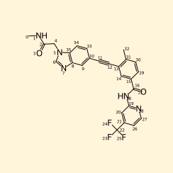 CNC(=O)Cn1cnc2cc(C#Cc3cc(C(=O)Nc4cc(C(F)(F)F)ccn4)ccc3C)ccc21